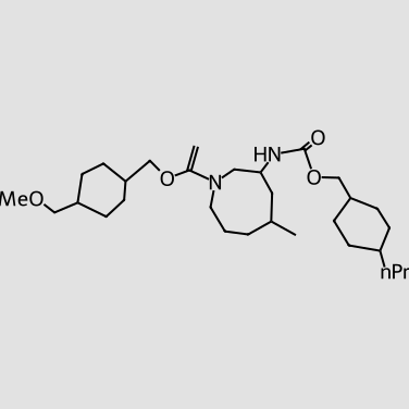 C=C(OCC1CCC(COC)CC1)N1CCCC(C)CC(NC(=O)OCC2CCC(CCC)CC2)C1